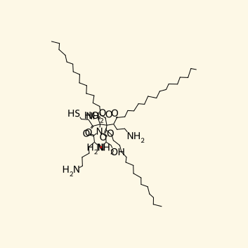 CCCCCCCCCCCCCCCC(=O)C(CCN)C(C(=O)CCCCCCCCCCCCCCC)(C(=O)CCCCCCCCCCCCCCC)C(C(=O)O)(C(=O)C(N)CS)N(C(=O)C(N)CO)C(=O)C(N)CCCCN